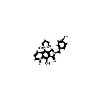 O=C1c2c(c([N+]3([O-])CCCS3)c3ccc[n+]([O-])c3c2O)CN1Cc1ccc(F)cc1